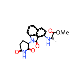 COC(=O)[C@H](C)Nc1ccc2cccc3c2c1C(=O)N3C1CCC(=O)NC1=O